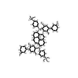 C[Si](C)(C)c1ccc(N(c2cc(F)c(-c3cccc(F)c3)cc2F)c2ccc3ccc4c(N(c5ccc([Si](C)(C)C)cc5)c5cc(F)c(-c6cccc(F)c6)cc5F)ccc5ccc2c3c54)cc1